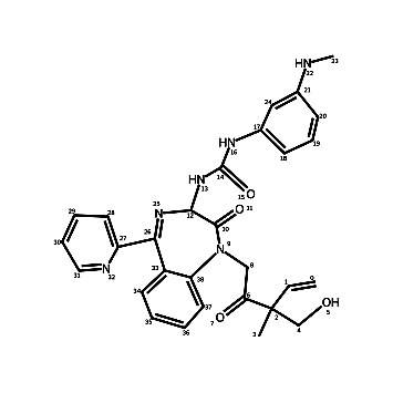 C=CC(C)(CO)C(=O)CN1C(=O)C(NC(=O)Nc2cccc(NC)c2)N=C(c2ccccn2)c2ccccc21